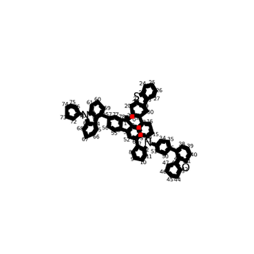 CC1(C)c2ccc(-c3ccccc3N(c3ccc(-c4ccc5sc6ccccc6c5c4)cc3)c3ccc(-c4cccc5oc6ccccc6c45)cc3)cc2-c2ccc(-c3cccc4c3c3ccccc3n4-c3ccccc3)cc21